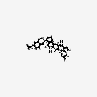 Cn1cc(-c2cccc(N3CCc4cc(C5CC5)ccc4C3=O)c2CO)cc(Nc2ccn(CC(F)(F)F)n2)c1=O